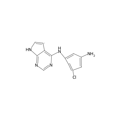 Nc1cc(Cl)cc(Nc2ncnc3[nH]c[c]c23)c1